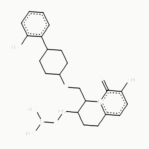 Cc1ccccc1C1CCC(OCC2C(NSN(C)C)CCc3ccc(C)c(=O)n32)CC1